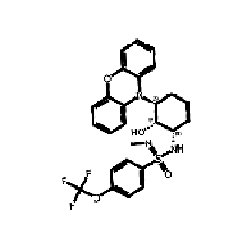 CN=S(=O)(N[C@H]1CCC[C@H](N2c3ccccc3Oc3ccccc32)[C@H]1O)c1ccc(OC(F)(F)F)cc1